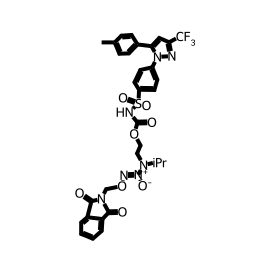 Cc1ccc(-c2cc(C(F)(F)F)nn2-c2ccc(S(=O)(=O)NC(=O)OCCN(C(C)C)[N+]([O-])=NOCN3C(=O)c4ccccc4C3=O)cc2)cc1